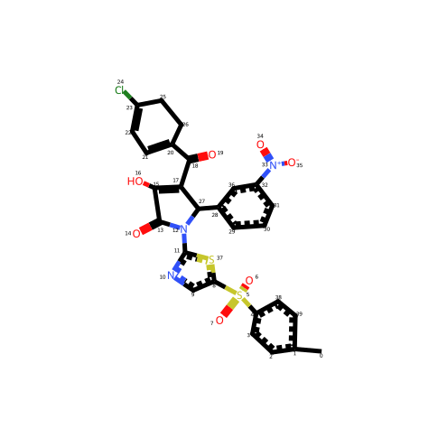 Cc1ccc(S(=O)(=O)c2cnc(N3C(=O)C(O)=C(C(=O)C4=CC=C(Cl)CC4)C3c3cccc([N+](=O)[O-])c3)s2)cc1